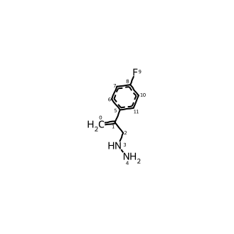 C=C(CNN)c1ccc(F)cc1